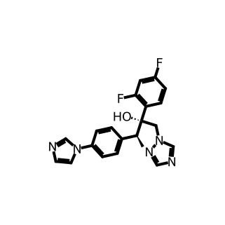 C[C@@H](c1ccc(-n2ccnc2)cc1)[C@](O)(Cn1cncn1)c1ccc(F)cc1F